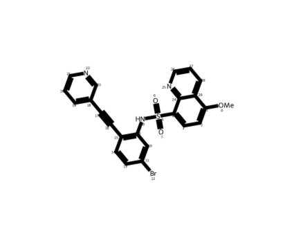 COc1ccc(S(=O)(=O)Nc2cc(Br)ccc2C#Cc2cccnc2)c2ncccc12